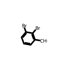 [CH]c1cccc(Br)c1Br